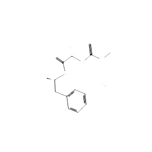 C[C@H](NC(=O)OC(C)(C)C)C(=O)N[C@@H](Cc1ccccc1)C(=O)[O-].[Na+]